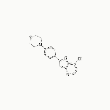 Clc1ccnc2cc(-c3ccc(N4CCOCC4)cc3)oc12